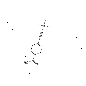 C[Si](C)(C)C#CC1=CCN(C(=O)O)CC1